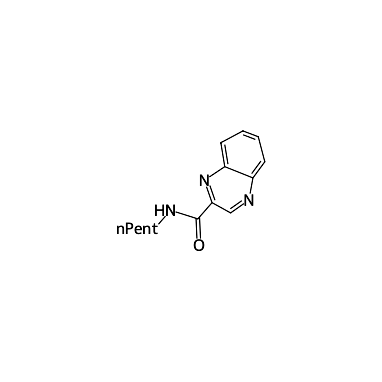 CCCCCNC(=O)c1cnc2ccccc2n1